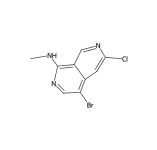 CNc1ncc(Br)c2cc(Cl)ncc12